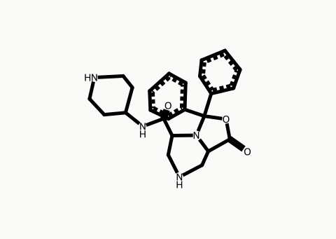 O=C(NC1CCNCC1)C1CNCC2C(=O)OC(c3ccccc3)(c3ccccc3)N12